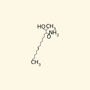 CCCCCCC=CCCCCCCC(C(N)=O)C(CC)CO